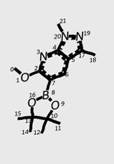 COc1nc2c(cc1B1OC(C)(C)C(C)(C)O1)c(C)nn2C